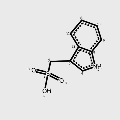 O=S(=O)(O)[CH]c1c[nH]c2ccccc12